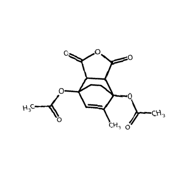 CC(=O)OC12C=C(C)C(OC(C)=O)(CC1)C1C(=O)OC(=O)C12